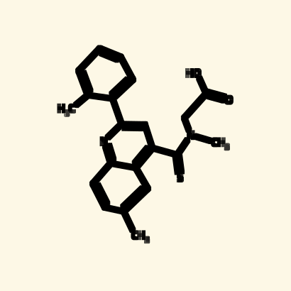 Cc1ccc2nc(-c3ccccc3C)cc(C(=S)N(C)CC(=O)O)c2c1